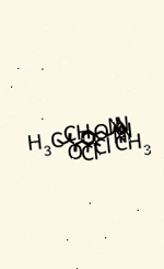 C=C(CC)C(=O)c1ccc(OCc2nnnn2C)c(Cl)c1Cl